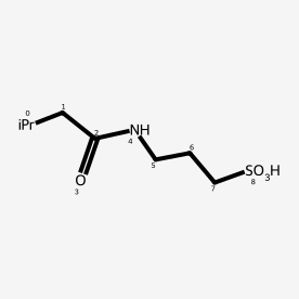 CC(C)CC(=O)NCCCS(=O)(=O)O